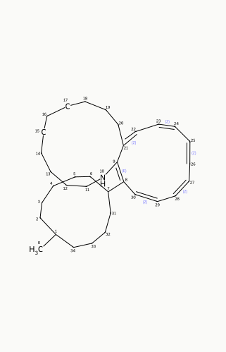 CC1CCCCCC(C2=C3\NCCCCCCCCCC\C3=C\C=C/C=C\C=C/C=C\2)CCCC1